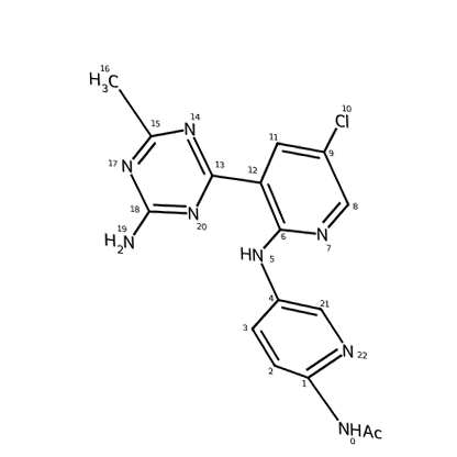 CC(=O)Nc1ccc(Nc2ncc(Cl)cc2-c2nc(C)nc(N)n2)cn1